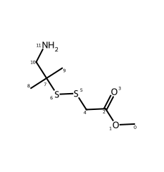 COC(=O)CSSC(C)(C)CN